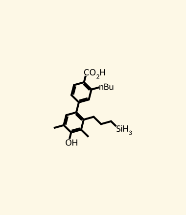 CCCCc1cc(-c2cc(C)c(O)c(C)c2CCC[SiH3])ccc1C(=O)O